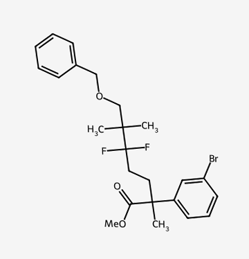 COC(=O)C(C)(CCC(F)(F)C(C)(C)COCc1ccccc1)c1cccc(Br)c1